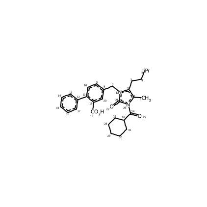 Cc1c(CCC(C)C)n(Cc2ccc(-c3ccccc3)c(C(=O)O)c2)c(=O)n1C(=O)C1CCCCC1